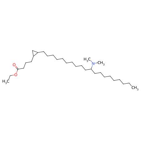 CCCCCCCCCC(CCCCCCCCCCC1CC1CCCC(=O)OCC)N(C)C